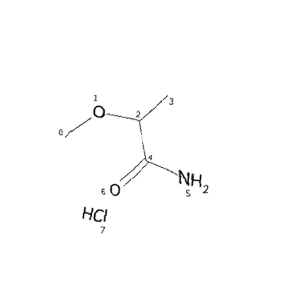 COC(C)C(N)=O.Cl